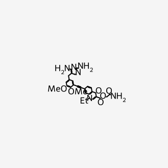 CCn1cc(C(=O)OCC(N)=O)c(=O)c2ccc(C#Cc3cc(Cc4cnc(N)nc4N)cc(OC)c3OC)cc21